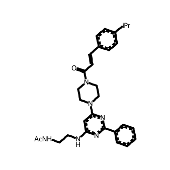 CC(=O)NCCNc1cc(N2CCN(C(=O)/C=C/c3ccc(C(C)C)cc3)CC2)nc(-c2ccccc2)n1